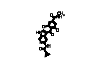 CNC(=O)c1cc(Cl)c(C(=O)c2c[nH]c3cnc(NC(=O)C4CC4)cc23)c(Cl)c1